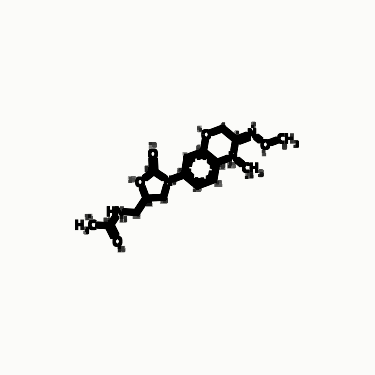 CON=C1COc2cc(N3CC(CNC(C)=O)OC3=O)ccc2N1C